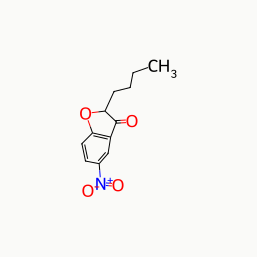 CCCCC1Oc2ccc([N+](=O)[O-])cc2C1=O